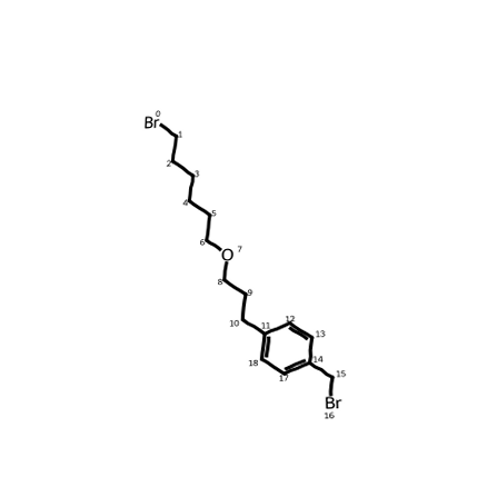 BrCCCCCCOCCCc1ccc(CBr)cc1